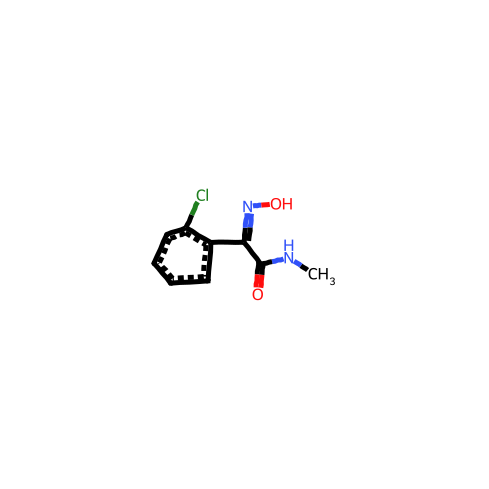 CNC(=O)C(=NO)c1ccccc1Cl